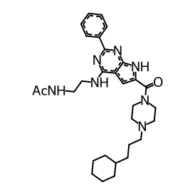 CC(=O)NCCNc1nc(-c2ccccc2)nc2[nH]c(C(=O)N3CCN(CCCC4CCCCC4)CC3)cc12